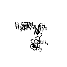 COC(=O)c1c2c(nn1CCCNC(=O)OC(C)(C)C)-c1cc(-c3cccc(S(C)(=O)=O)c3)c(OC)cc1CC2